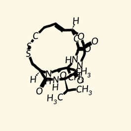 CC(C)[C@H]1NC(=O)[C@H]2CSSCC/C=C/[C@H](CC(=O)NC(C)(C)C(=O)N2)OC(=O)CNC1=O